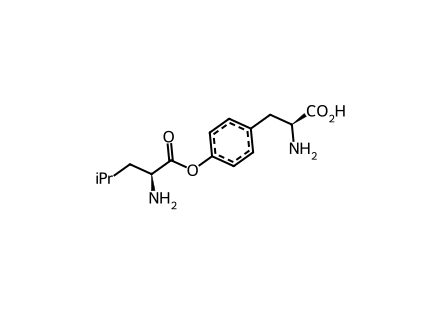 CC(C)C[C@H](N)C(=O)Oc1ccc(C[C@H](N)C(=O)O)cc1